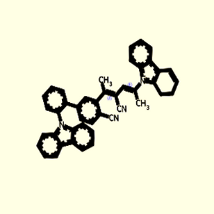 C/C(=C(C#N)\C=C(/C)n1c2c(c3ccccc31)C=CCC2)c1cc(-c2ccccc2-n2c3ccccc3c3ccccc32)ccc1C#N